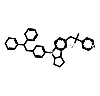 CC(Cc1ccc2c(c1)C1CCCC1N2C1=CCC(CC(C2=CCCC=C2)C2C=CC=CC2)C=C1)(C(=O)O)c1ccncc1